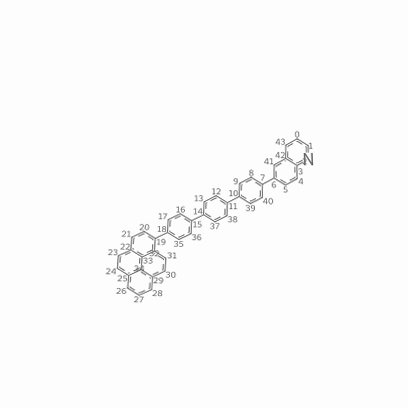 c1cnc2ccc(-c3ccc(-c4ccc(-c5ccc(-c6ccc7ccc8cccc9ccc6c7c89)cc5)cc4)cc3)cc2c1